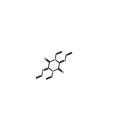 C=C/N=C1/C(=O)N(C=C)/C(=N\C=C)C(=O)N1C=C